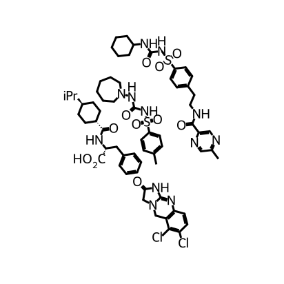 CC(C)[C@H]1CC[C@H](C(=O)N[C@H](Cc2ccccc2)C(=O)O)CC1.Cc1ccc(S(=O)(=O)NC(=O)NN2CCCCCC2)cc1.Cc1cnc(C(=O)NCCc2ccc(S(=O)(=O)NC(=O)NC3CCCCC3)cc2)cn1.O=C1CN2Cc3c(ccc(Cl)c3Cl)N=C2N1